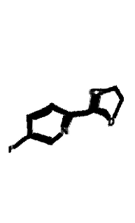 Fc1ccc(C2OCCO2)nc1